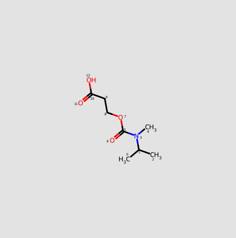 CC(C)N(C)C(=O)OCCC(=O)O